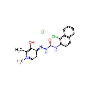 CC1=C(O)C(=NNC(=O)Nc2ccc3ccccc3c2Cl)CC=[N+]1C.[Cl-]